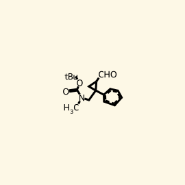 CN(CC1(c2ccccc2)CC1C=O)C(=O)OC(C)(C)C